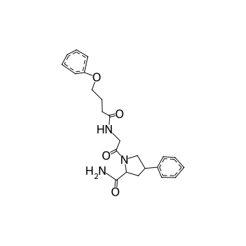 NC(=O)C1CC(c2ccccc2)CN1C(=O)CNC(=O)CCCOc1ccccc1